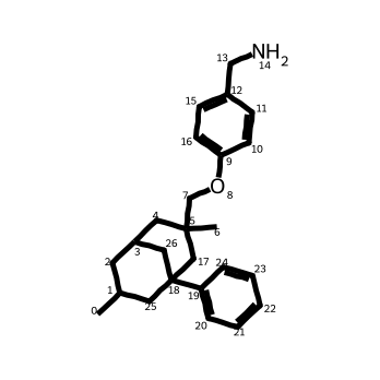 CC1CC2CC(C)(COc3ccc(CN)cc3)CC(c3ccccc3)(C1)C2